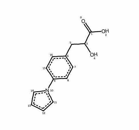 O=C(O)C(O)Cc1ccc(-n2cccc2)cc1